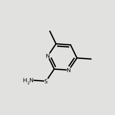 Cc1cc(C)nc(SN)n1